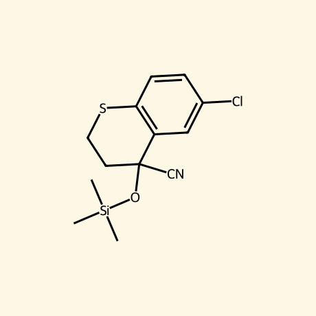 C[Si](C)(C)OC1(C#N)CCSc2ccc(Cl)cc21